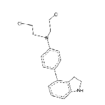 ClCCN(CCCl)c1ccc(-c2cccc3c2CCN3)cc1